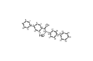 O=C(c1ccc(-c2ccccc2)cc1)C(O)c1ccc(-c2ccccc2)cc1